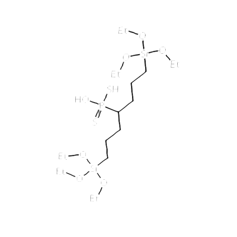 CCO[Si](CCCC(CCC[Si](OCC)(OCC)OCC)P(O)(=S)S)(OCC)OCC